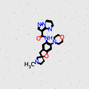 CN1CC[C@]2(Cc3cc(NC(=O)c4cnn5cccnc45)c(N4CCOCC4)cc3O2)C1